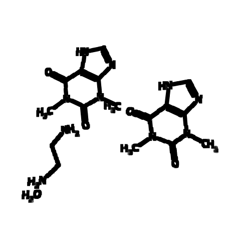 Cn1c(=O)c2[nH]cnc2n(C)c1=O.Cn1c(=O)c2[nH]cnc2n(C)c1=O.NCCN.O